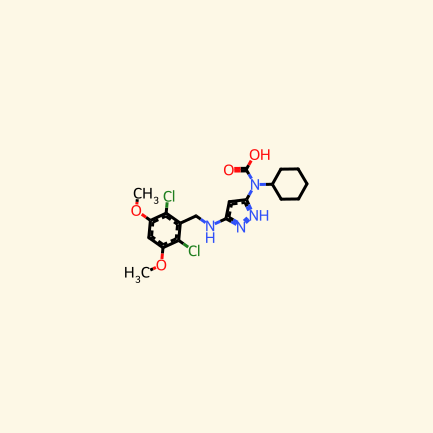 COc1cc(OC)c(Cl)c(CNc2cc(N(C(=O)O)C3CCCCC3)[nH]n2)c1Cl